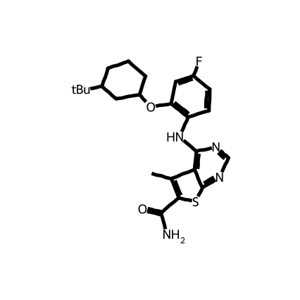 Cc1c(C(N)=O)sc2ncnc(Nc3ccc(F)cc3OC3CCC[C](C(C)(C)C)C3)c12